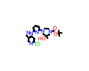 CC1(O)CN(C(=O)OC(C)(C)C)CCN(c2cccc(-n3ncc4cnc(Cl)cc43)n2)C1